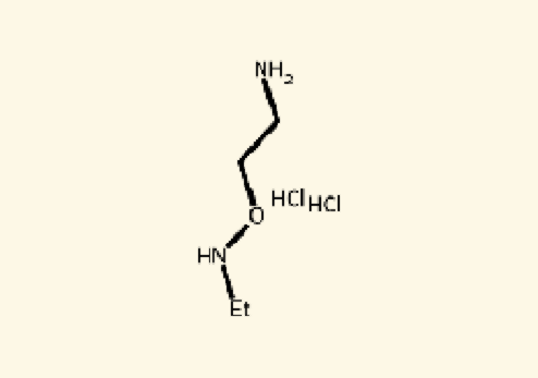 CCNOCCN.Cl.Cl